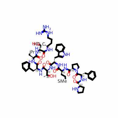 CSCC[C@H](NC(=O)[C@@H]1CCCN1C(=O)[C@H](Cc1ccccc1)NC(=O)[C@@H]1CCCN1)C(=O)N[C@@H](Cc1c[nH]c2ccccc12)C(=O)N[C@H](C(=O)N[C@@H](Cc1ccccc1)C(=O)N[C@@H](CC(C)C)C(=O)N[C@@H](CO)C(=O)N[C@@H](CCCNC(=N)N)C(=O)O)[C@@H](C)O